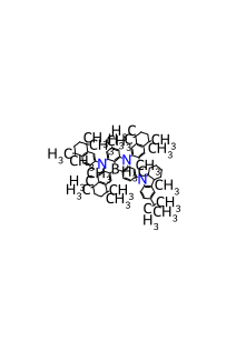 Cc1cc2c3c(c1)N(c1cc4c(cc1C)C(C)(C)CCC4(C)C)c1cc4c(cc1B3c1ccc(N3c5ccc(C(C)(C)C)cc5C5(C)CCCCC35C)cc1N2c1cc2c(cc1C)C(C)(C)CCC2(C)C)C(C)(C)CCC4(C)C